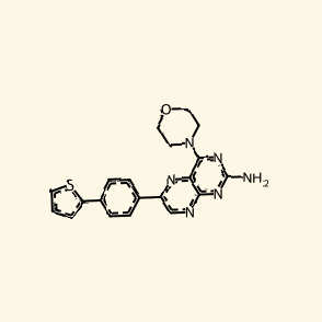 Nc1nc(N2CCOCC2)c2nc(-c3ccc(-c4cccs4)cc3)cnc2n1